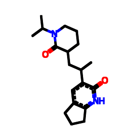 CC(CC1CCCN(C(C)C)C1=O)c1cc2c([nH]c1=O)CCC2